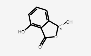 O=C1O[C@@H](O)c2cccc(O)c21